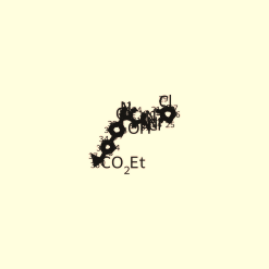 CCOC(=O)C1(c2ccc(-c3ccc(-c4onc(C)c4C(O)c4cn(Cc5c(Cl)cccc5Cl)nn4)cc3)cc2)CC1